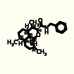 C[C@H]1[C@H](C(=O)NCc2ccccc2)O[C@@H]2O[C@@]3(C)CC[C@H]4[C@H](C)CC[C@@H]1[C@@]24OO3